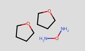 C1CCOC1.C1CCOC1.NON